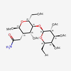 CO[C@H]1O[C@H](COC(C)=O)[C@@H](O[C@@H]2O[C@H](CC(C)=O)[C@H](OC(C)=O)[C@H](OC(C)=O)[C@H]2OC(C)=O)[C@H](OC(C)=O)[C@@H]1CC(N)=O